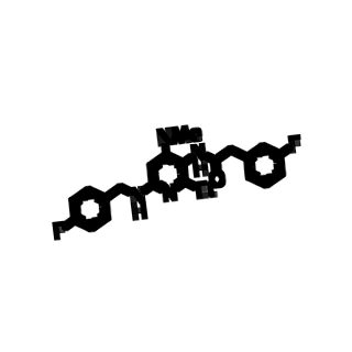 CCc1nc(NCc2ccc(F)cc2)cc(NC)c1NC(=O)Cc1cccc(F)c1